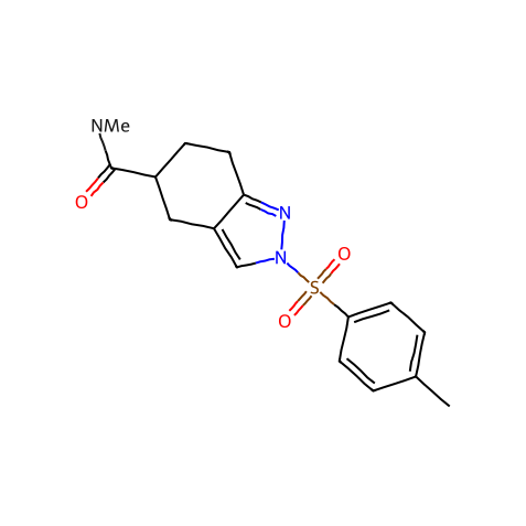 CNC(=O)C1CCc2nn(S(=O)(=O)c3ccc(C)cc3)cc2C1